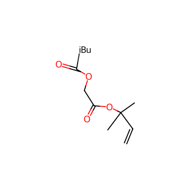 C=CC(C)(C)OC(=O)COC(=O)C(C)CC